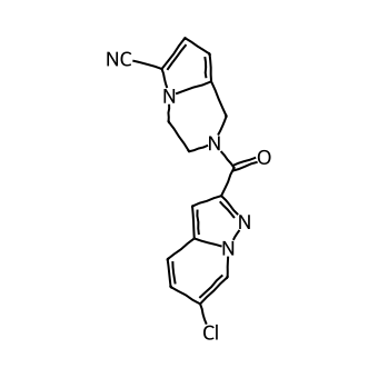 N#Cc1ccc2n1CCN(C(=O)c1cc3ccc(Cl)cn3n1)C2